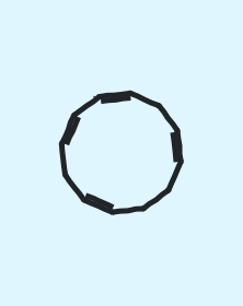 [C]1=CCC=CCCC=CCC=C1